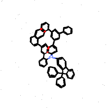 c1ccc(-c2cc(-c3ccccc3)cc(-c3ccc(N(c4ccc5c(c4)C(c4ccccc4)(c4ccccc4)c4ccccc4-5)c4ccccc4-c4cccc(-c5cccc6ccccc56)c4)cc3)c2)cc1